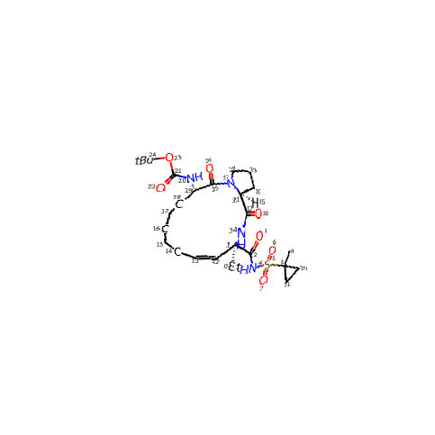 CC[C@]1(C(=O)NS(=O)(=O)C2(C)CC2)/C=C\CCCCC[C@H](NC(=O)OC(C)(C)C)C(=O)N2CCC[C@H]2C(=O)N1